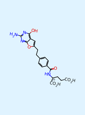 Nc1nc(O)c2cc(CCc3ccc(C(=O)N[C@@H](CCC(=O)O)C(=O)O)cc3)oc2n1